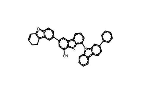 N#Cc1cc(-c2ccc3oc4c(c3c2)CCC=C4)cc2c1sc1c(-n3c4ccccc4c4ccc(-c5ccccc5)cc43)cccc12